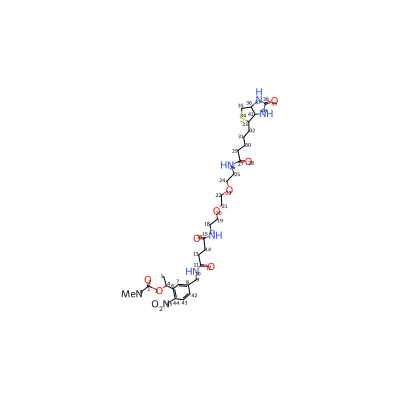 CNC(=O)OC(C)c1cc(CNC(=O)CCC(=O)NCCOCCOCCNC(=O)CCCCC2SCC3NC(=O)NC32)ccc1[N+](=O)[O-]